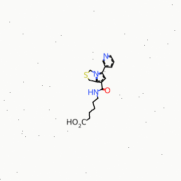 O=C(O)CCCCCNC(=O)c1cc(-c2cccnc2)n2c1CSC2